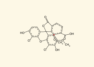 COc1cc2c(c(Cl)c1O)Oc1c(ccc(O)c1Cl)C21OC(=O)c2ccc(C(=O)O)c(OC)c21